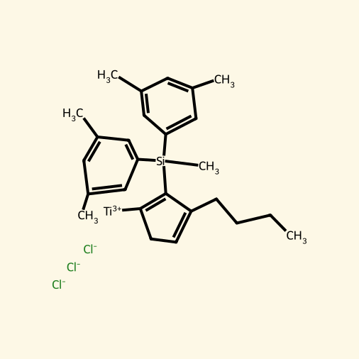 CCCCC1=CC[C]([Ti+3])=C1[Si](C)(c1cc(C)cc(C)c1)c1cc(C)cc(C)c1.[Cl-].[Cl-].[Cl-]